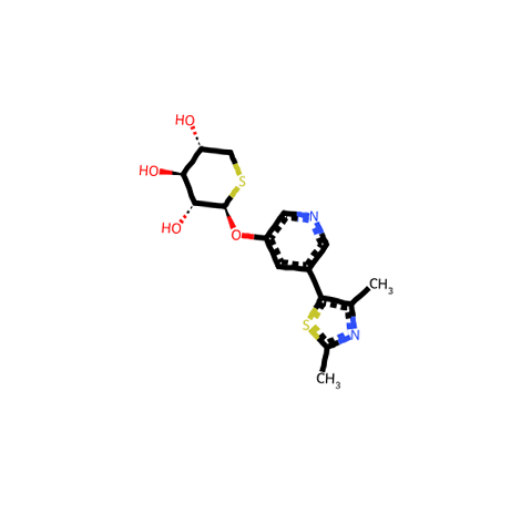 Cc1nc(C)c(-c2cncc(O[C@@H]3SC[C@@H](O)[C@H](O)[C@H]3O)c2)s1